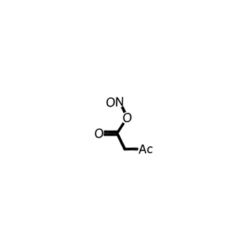 CC(=O)CC(=O)ON=O